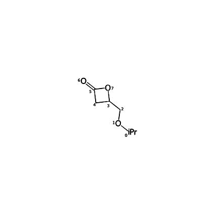 CC(C)OCC1CC(=O)O1